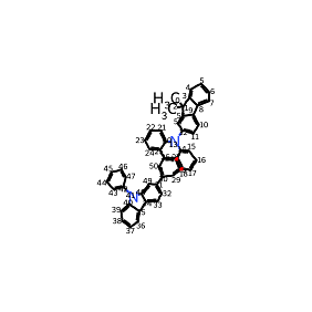 CC1(C)c2ccccc2-c2ccc(N(c3ccccc3)c3ccccc3-c3cccc(-c4ccc5c6ccccc6n(-c6ccccc6)c5c4)c3)cc21